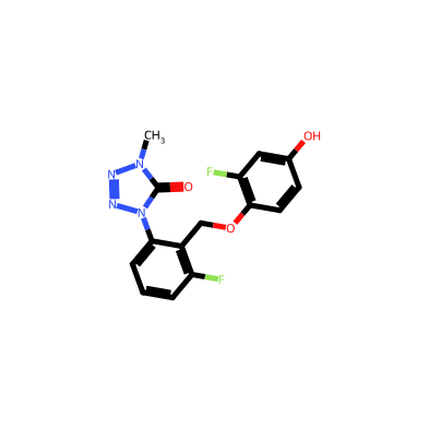 Cn1nnn(-c2cccc(F)c2COc2ccc(O)cc2F)c1=O